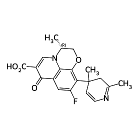 CC1=NC=CC(C)(c2c(F)cc3c(=O)c(C(=O)O)cn4c3c2OC[C@H]4C)C1